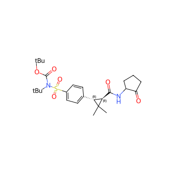 CC(C)(C)OC(=O)N(C(C)(C)C)S(=O)(=O)c1ccc([C@@H]2[C@@H](C(=O)NC3CCCC3=O)C2(C)C)cc1